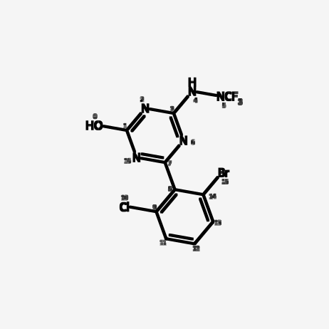 Oc1nc(NNC(F)(F)F)nc(-c2c(Cl)cccc2Br)n1